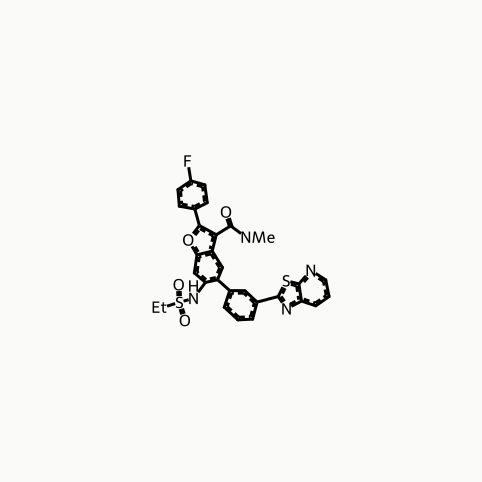 CCS(=O)(=O)Nc1cc2oc(-c3ccc(F)cc3)c(C(=O)NC)c2cc1-c1cccc(-c2nc3cccnc3s2)c1